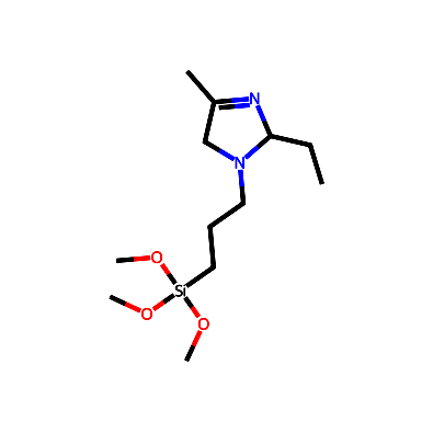 CCC1N=C(C)CN1CCC[Si](OC)(OC)OC